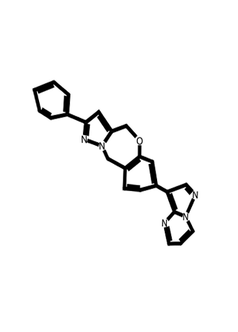 c1ccc(-c2cc3n(n2)Cc2ccc(-c4cnn5cccnc45)cc2OC3)cc1